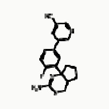 N#Cc1cncc(-c2ccc(F)c(C34CCCC3CSC(N)=N4)c2)c1